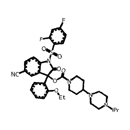 CCOc1ccccc1C1(OC(=O)N2CCC(N3CCN(C(C)C)CC3)CC2)C(=O)N(S(=O)(=O)c2ccc(F)cc2F)c2ccc(C#N)cc21